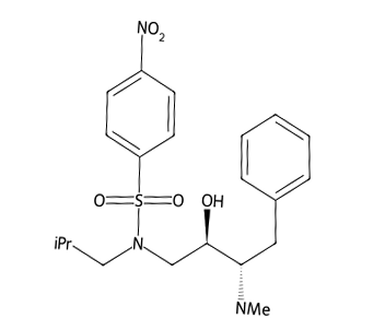 CN[C@@H](Cc1ccccc1)[C@H](O)CN(CC(C)C)S(=O)(=O)c1ccc([N+](=O)[O-])cc1